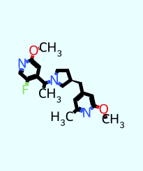 COc1cc(C(C)N2CC[C@@H](Cc3cc(C)nc(OC)c3)C2)c(F)cn1